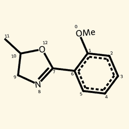 COc1ccccc1C1=NCC(C)O1